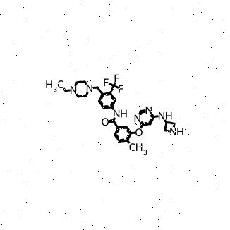 CCN1CCN(Cc2ccc(NC(=O)c3ccc(C)c(Oc4cc(NC5CNC5)ncn4)c3)cc2C(F)(F)F)CC1